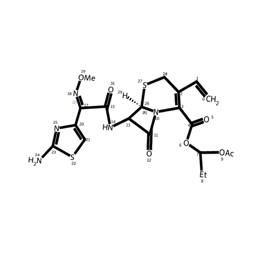 C=CC1=C(C(=O)OC(CC)OC(C)=O)N2C(=O)C(NC(=O)/C(=N\OC)c3csc(N)n3)[C@H]2SC1